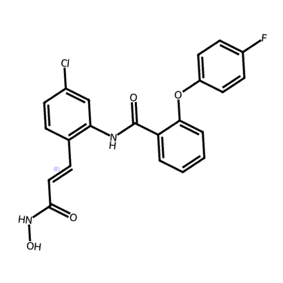 O=C(/C=C/c1ccc(Cl)cc1NC(=O)c1ccccc1Oc1ccc(F)cc1)NO